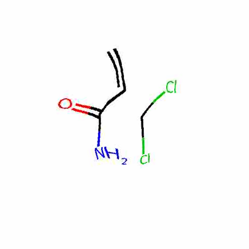 C=CC(N)=O.ClCCl